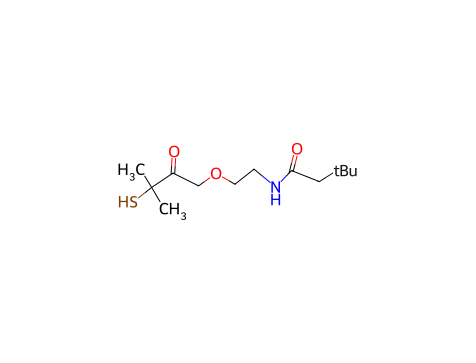 CC(C)(C)CC(=O)NCCOCC(=O)C(C)(C)S